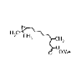 COOC(=O)CC(C)CCCCCC1CC1(C)C